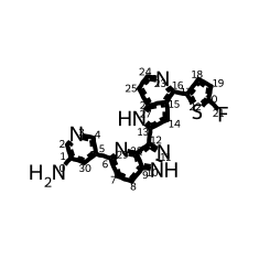 Nc1cncc(-c2ccc3[nH]nc(-c4cc5c(-c6ccc(F)s6)nccc5[nH]4)c3n2)c1